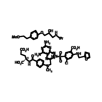 CN(Cc1cnc2nc(N)nc(N)c2n1)c1ccc(C(=O)N[C@@H](CCC(=O)O)C(=O)O)cc1.COCCc1ccc(OCC(O)CNC(C)C)cc1.NS(=O)(=O)c1cc(C(=O)O)c(NCc2ccco2)cc1Cl